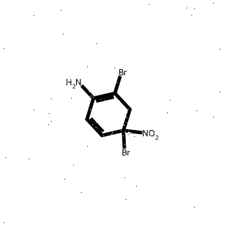 NC1=C(Br)CC(Br)([N+](=O)[O-])C=C1